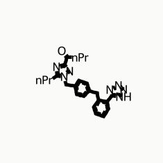 CCCC(=O)c1nc(CCC)n(Cc2ccc(Cc3ccccc3-c3nnn[nH]3)cc2)n1